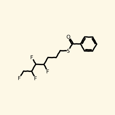 O=C(SCCCC(F)C(F)C(F)CF)c1ccccc1